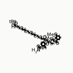 COc1cccc(C(=O)N2CCN(C(=O)CN(C(=O)COCCOCCOCCOCCOCCNC(=O)OC(C)(C)C)c3ccc(NC(N)=O)c(C)c3)CC2)c1OC